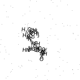 COc1cc(CN2CCN(C3CC4(CCN(c5cc(Oc6cnc7[nH]ccc7c6)c(C(=O)NS(=O)(=O)c6ccc(NCC7(F)CCOCC7)c([N+](=O)[O-])c6)cc5F)CC4)C3)C(c3ccccc3C(C)C)C2)ccc1C(C)C